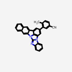 Cc1ccc(C#N)cc1-c1cc2c3cc4ccccc4cc3n3c2c(c1)n1c2ccccc2nc13